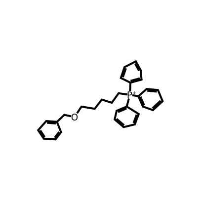 c1ccc(COCCCCC[P+](c2ccccc2)(c2ccccc2)c2ccccc2)cc1